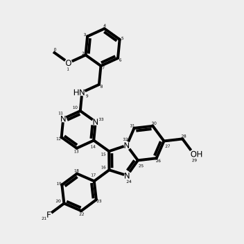 COc1ccccc1CNc1nccc(-c2c(-c3ccc(F)cc3)nc3cc(CO)ccn23)n1